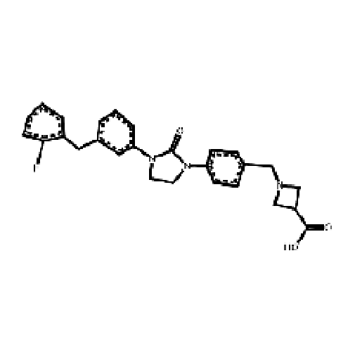 O=C(O)C1CN(Cc2ccc(N3CCN(c4cccc(Cc5ccccc5F)c4)C3=O)cc2)C1